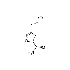 CCCC1=NOC(C(N)=O)C1